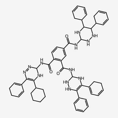 O=C(NC1NNC(C2C=CC=CC2)C(C2C=CC=CC2)N1)c1ccc(C(=O)NC2N=NC(C3=CCCC=C3)=C(C3CCCCC3)N2)c(C(=O)NC2NNC(c3ccccc3)=C(C3=CC=CCC3)N2)c1